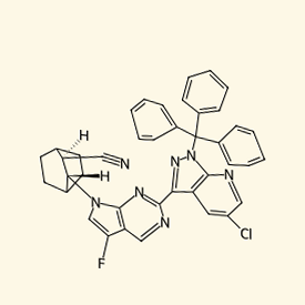 N#C[C@@H]1C2CCC(CC2)[C@H]1n1cc(F)c2cnc(-c3nn(C(c4ccccc4)(c4ccccc4)c4ccccc4)c4ncc(Cl)cc34)nc21